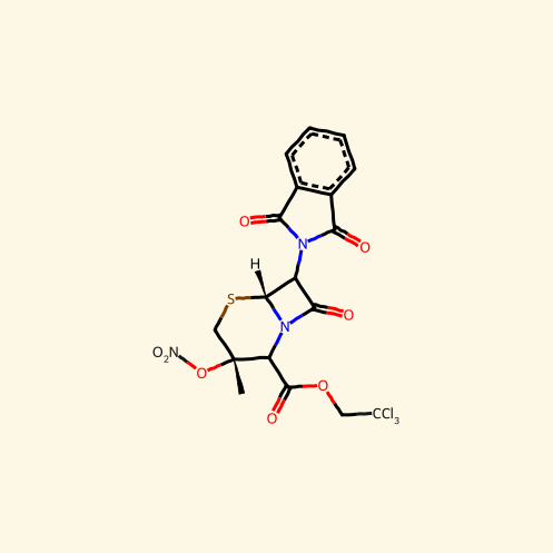 C[C@@]1(O[N+](=O)[O-])CS[C@@H]2C(N3C(=O)c4ccccc4C3=O)C(=O)N2C1C(=O)OCC(Cl)(Cl)Cl